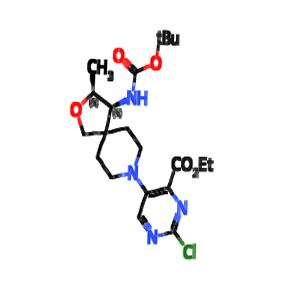 CCOC(=O)c1nc(Cl)ncc1N1CCC2(CC1)CO[C@@H](C)[C@H]2NC(=O)OC(C)(C)C